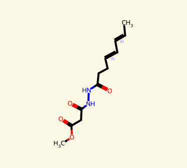 C/C=C/C=C/CCC(=O)NNC(=O)CC(=O)OC